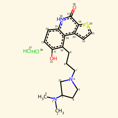 CN(C)C1CCN(CCCc2c(O)ccc3[nH]c(=O)c4sccc4c23)C1.Cl.Cl